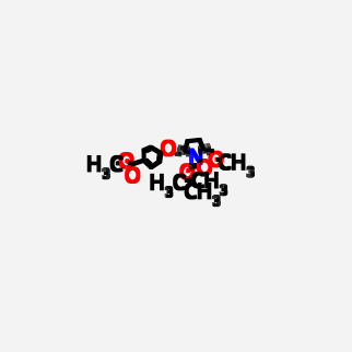 COC[C@@H]1CC[C@@H](COc2ccc(C(=O)OC)cc2)N1C(=O)OC(C)(C)C